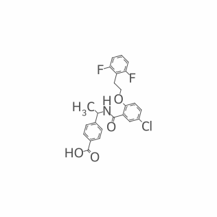 CC(NC(=O)c1cc(Cl)ccc1OCCc1c(F)cccc1F)c1ccc(C(=O)O)cc1